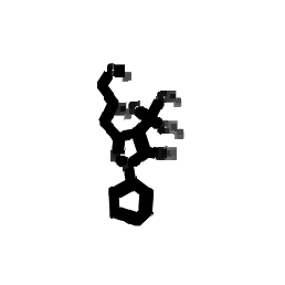 CCCCc1nn(-c2ccccc2)c(O)c1C(C)(C)C